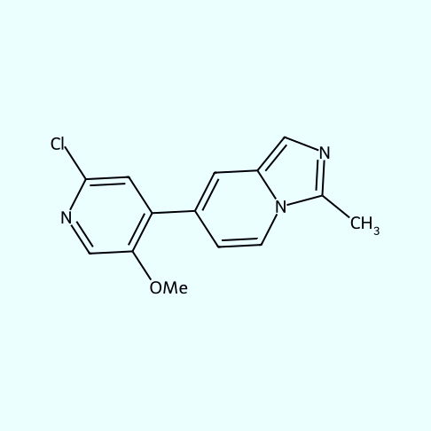 COc1cnc(Cl)cc1-c1ccn2c(C)ncc2c1